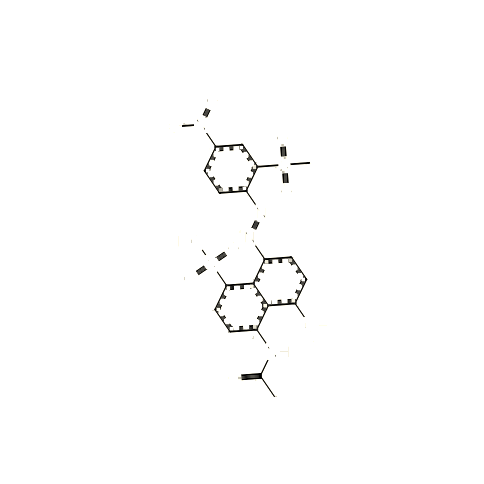 CC(=O)Nc1ccc(S(=O)(=O)O)c2c(/N=N/c3ccc([N+](=O)[O-])cc3S(C)(=O)=O)ccc(O)c12